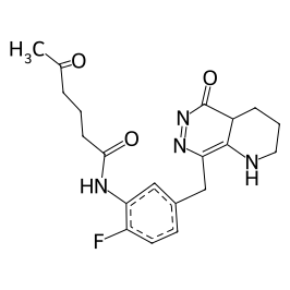 CC(=O)CCCC(=O)Nc1cc(CC2=C3NCCCC3C(=O)N=N2)ccc1F